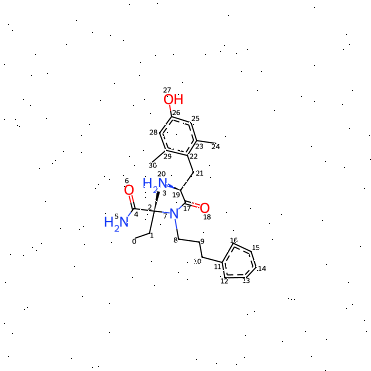 CC[C@](C)(C(N)=O)N(CCCc1ccccc1)C(=O)[C@@H](N)Cc1c(C)cc(O)cc1C